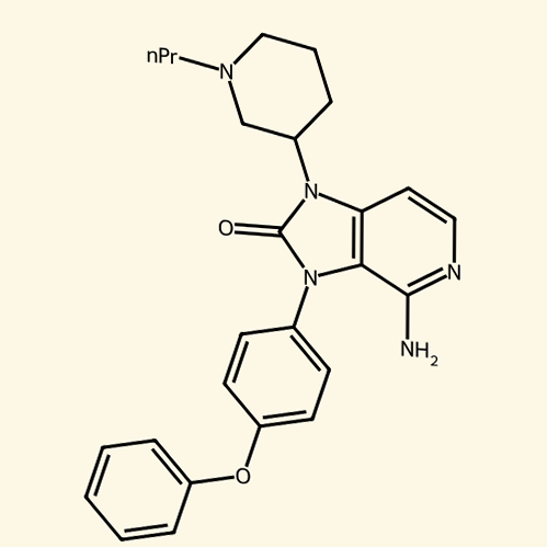 CCCN1CCCC(n2c(=O)n(-c3ccc(Oc4ccccc4)cc3)c3c(N)nccc32)C1